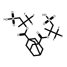 CC(CS(=O)(=O)O)(OC(=O)C12CC3CC(C1)CC(C(=O)OC(C)(CS(=O)(=O)O)C(F)(F)F)(C3)C2)C(F)(F)F